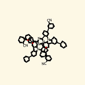 N#Cc1cccc(-c2ccc(-c3nc(-c4ccc(-c5ccccc5C#N)cc4)nc(-c4ccc(-c5cccc(C#N)c5)cc4-n4c5ccc(-c6ccccc6)cc5c5cc(-c6ccccc6)ccc54)n3)c(-n3c4ccc(-c5ccccc5)cc4c4cc(-c5ccccc5)ccc43)c2)c1